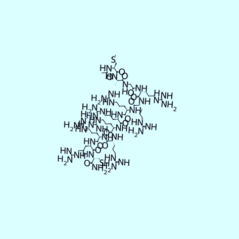 CSC[C@H](NC(C)=O)C(=O)N[C@@H](C)C(=O)NCC(=O)N[C@H](CCCNC(=N)N)C(=O)N[C@H](CCCNC(=N)N)C(=O)N[C@H](CCCNC(=N)N)C(=O)N[C@H](CCCNC(=N)N)C(=O)N[C@H](CCCNC(=N)N)C(=O)N[C@H](CCCNC(=N)N)C(=O)N[C@H](CCCNC(=N)N)C(=O)N[C@H](CCCNC(=N)N)C(=O)N[C@H](CS)C(N)=O